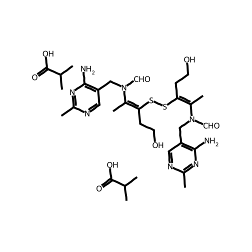 C/C(=C(\CCO)SS/C(CCO)=C(/C)N(C=O)Cc1cnc(C)nc1N)N(C=O)Cc1cnc(C)nc1N.CC(C)C(=O)O.CC(C)C(=O)O